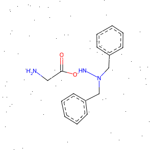 NCC(=O)ONN(Cc1ccccc1)Cc1ccccc1